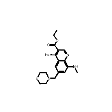 CCOC(=O)c1cnc2c(NC)cc(CN3CCOCC3)cc2c1O